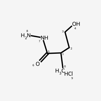 CC(CCO)C(=O)NN.Cl